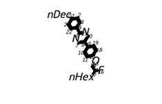 CCCCCCCCCCc1ccc(-c2ncc(-c3ccc(OCC(F)CCCCCC)cc3)cn2)cc1